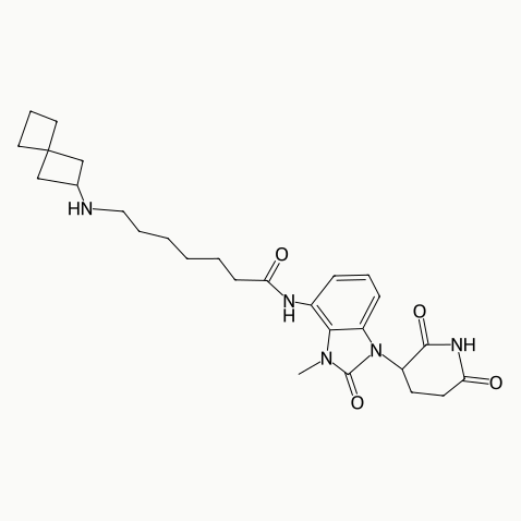 Cn1c(=O)n(C2CCC(=O)NC2=O)c2cccc(NC(=O)CCCCCCNC3CC4(CCC4)C3)c21